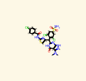 CN(C)c1n[nH]c2nc(C(c3csc(NC(=O)c4ccc(Cl)cc4)n3)c3c(Cl)cc(S(N)(=O)=O)cc3Cl)[nH]c(=O)c12